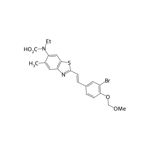 CCN(C(=O)O)c1cc2sc(C=Cc3ccc(OCOC)c(Br)c3)nc2cc1C